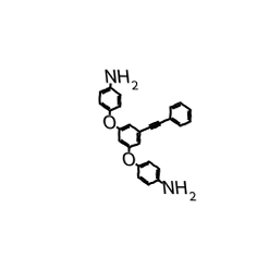 Nc1ccc(Oc2cc(C#Cc3ccccc3)cc(Oc3ccc(N)cc3)c2)cc1